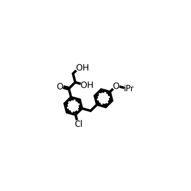 CC(C)Oc1ccc(Cc2cc(C(=O)C(O)CO)ccc2Cl)cc1